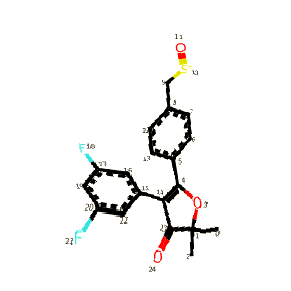 CC1(C)OC(c2ccc(C[S+]=O)cc2)=C(c2cc(F)cc(F)c2)C1=O